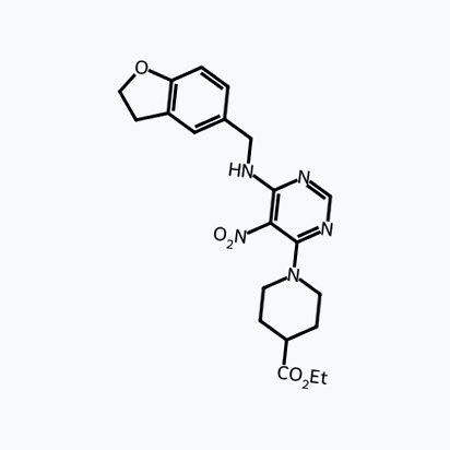 CCOC(=O)C1CCN(c2ncnc(NCc3ccc4c(c3)CCO4)c2[N+](=O)[O-])CC1